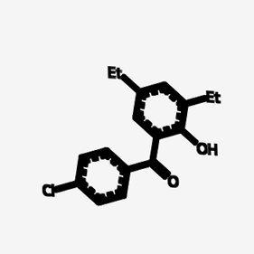 CCc1cc(CC)c(O)c(C(=O)c2ccc(Cl)cc2)c1